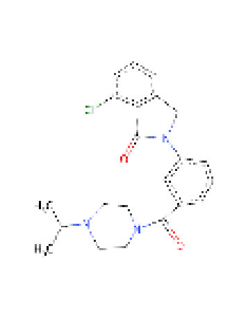 CC(C)N1CCN(C(=O)c2cccc(N3Cc4cccc(Cl)c4C3=O)c2)CC1